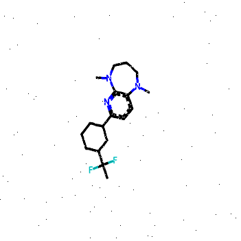 CN1CCCN(C)c2nc(C3CCCC(C(C)(F)F)C3)ccc21